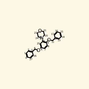 c1ccc(COc2ccc(OCc3ccccc3)c(N3CCOCC3)c2)cc1